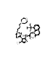 O=C(Cn1c(=O)ccc2cccc(C(F)(F)F)c21)Nc1scc(Cl)c1-c1ncn(CCCN2CCOCC2)n1